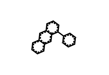 [c]1cc[c]c(-c2cccc3cc4ccccc4cc23)c1